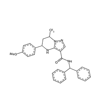 COc1ccc(C2CC(C(F)(F)F)n3ncc(C(=O)NC(c4ccccc4)c4ccccc4)c3N2)cc1